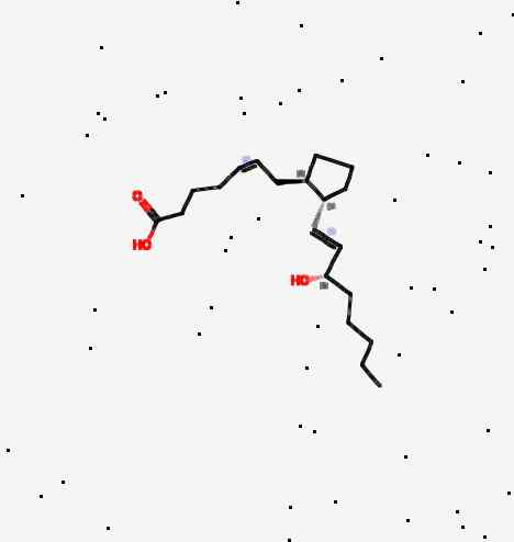 CCCCC[C@H](O)/C=C/[C@H]1CCC[C@@H]1C/C=C\CCCC(=O)O